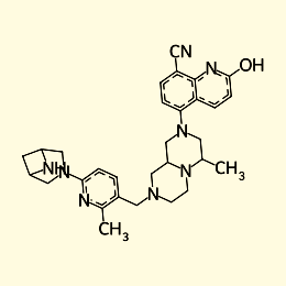 Cc1nc(N2CC3CC(C2)N3)ccc1CN1CCN2C(C)CN(c3ccc(C#N)c4nc(O)ccc34)CC2C1